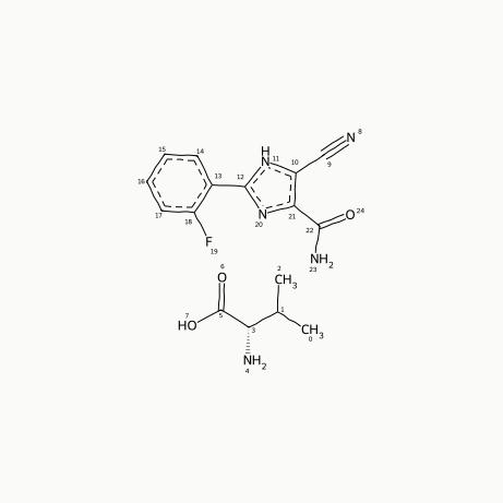 CC(C)[C@H](N)C(=O)O.N#Cc1[nH]c(-c2ccccc2F)nc1C(N)=O